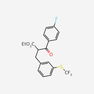 CCOC(=O)C(Cc1cccc(SC(F)(F)F)c1)C(=O)c1ccc(F)cc1